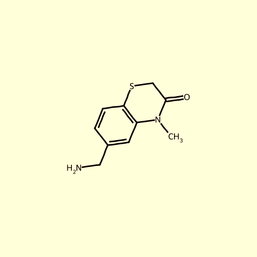 CN1C(=O)CSc2ccc(CN)cc21